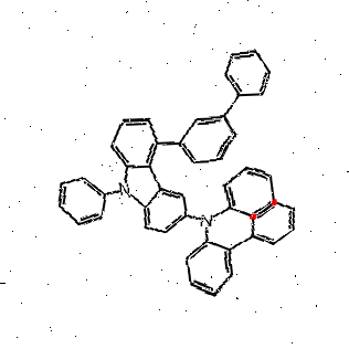 c1ccc(-c2cccc(-c3cccc4c3c3cc(N(c5ccccc5)c5ccccc5-c5ccccc5)ccc3n4-c3ccccc3)c2)cc1